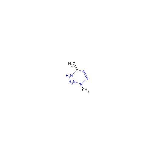 C=C(N)/N=N\N(C)N